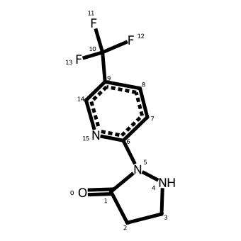 O=C1CCNN1c1ccc(C(F)(F)F)cn1